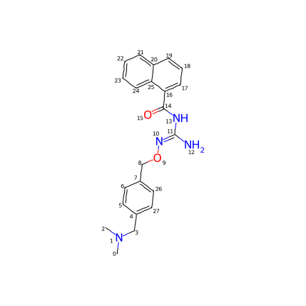 CN(C)Cc1ccc(CON=C(N)NC(=O)c2cccc3ccccc23)cc1